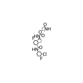 O=C1CC(OC(=O)N[C@H]2CCc3c(C(=O)Nc4ccc(F)c(Cl)c4)ccc(F)c32)CN1